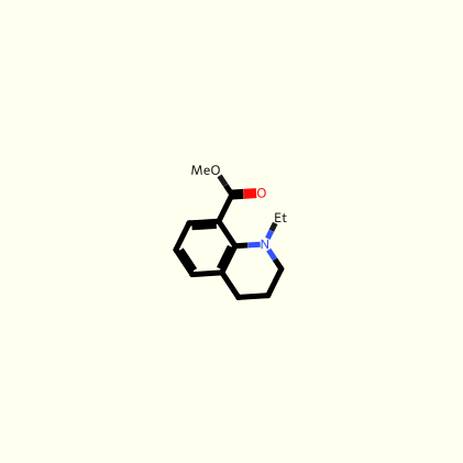 CCN1CCCc2cccc(C(=O)OC)c21